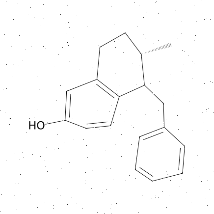 C[C@H]1CCc2cc(O)ccc2C1Cc1ccccc1